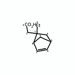 CCC1(CC(=O)O)CC2C=CC1C2